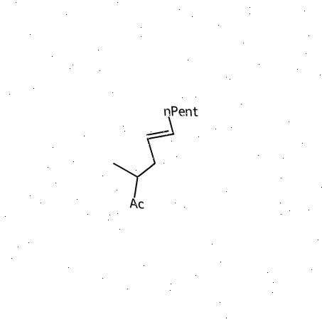 CCCCCC=CCC(C)C(C)=O